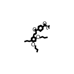 CCCCOc1cc(OCCCC)c(CCC)cc1C=CC(=O)c1ccc(C(=O)N(C)C)cc1